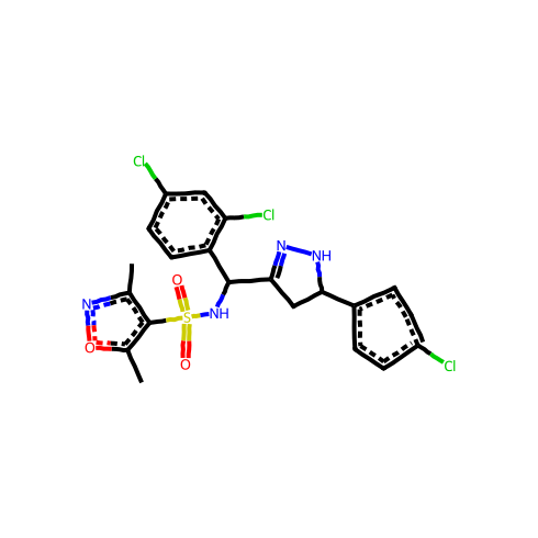 Cc1noc(C)c1S(=O)(=O)NC(C1=NNC(c2ccc(Cl)cc2)C1)c1ccc(Cl)cc1Cl